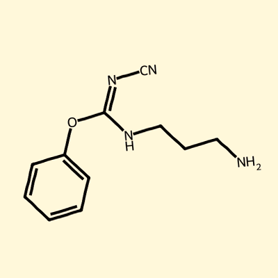 N#C/N=C(\NCCCN)Oc1ccccc1